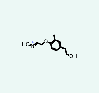 Cc1cc(CCO)ccc1OC/C=N/O